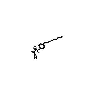 C=C(C#N)C(=O)Oc1ccc(CCCCCCCCC)cc1